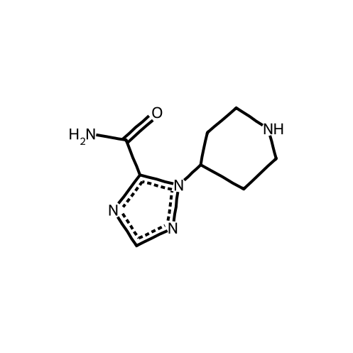 NC(=O)c1ncnn1C1CCNCC1